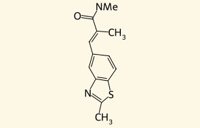 CNC(=O)/C(C)=C/c1ccc2sc(C)nc2c1